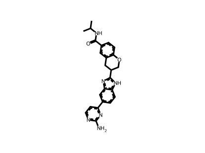 CC(C)NC(=O)c1ccc2c(c1)CC(c1nc3cc(-c4ccnc(N)n4)ccc3[nH]1)CO2